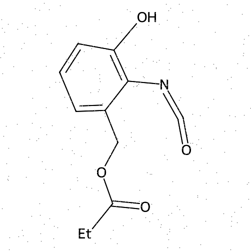 CCC(=O)OCc1cccc(O)c1N=C=O